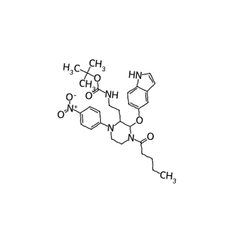 CCCCC(=O)N1CCN(c2ccc([N+](=O)[O-])cc2)C(CCNC(=O)OC(C)(C)C)C1Oc1ccc2[nH]ccc2c1